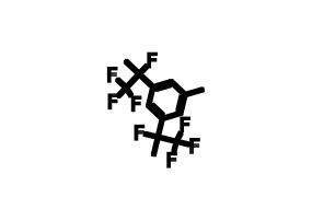 Cc1cc(C(C)(F)C(F)(F)F)cc(C(C)(F)C(F)(F)F)c1